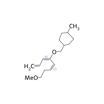 C=C/C=C(\C=C/CCOC)OCC1CCC(C)CC1